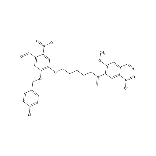 COc1cc(C=O)c([N+](=O)[O-])cc1C(=O)CCCCCOc1cc([N+](=O)[O-])c(C=O)cc1OCc1ccc(Cl)cc1